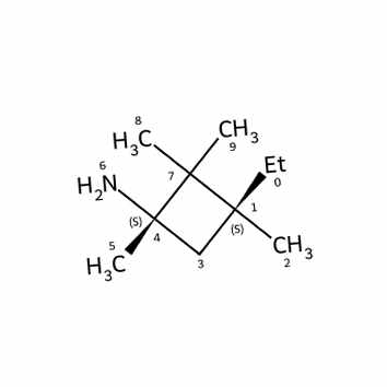 CC[C@@]1(C)C[C@](C)(N)C1(C)C